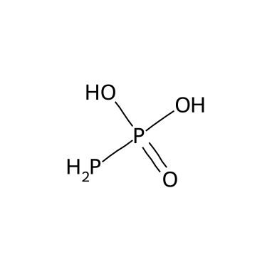 O=P(O)(O)P